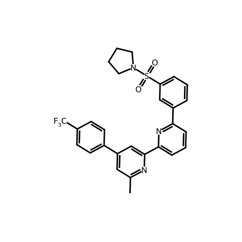 Cc1cc(-c2ccc(C(F)(F)F)cc2)cc(-c2cccc(-c3cccc(S(=O)(=O)N4CCCC4)c3)n2)n1